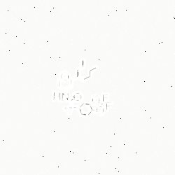 C=C/C=C\C(=C/C=C)[C@H]1C[C@@H](NC(=O)C2(c3ccc4c(c3)OC(F)(F)O4)CC2)CCO1